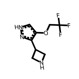 FC(F)(F)COc1c[nH]nc1C1CNC1